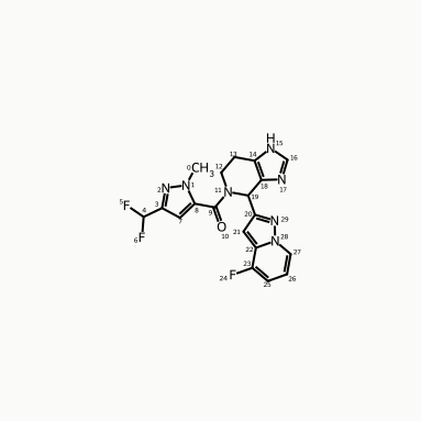 Cn1nc(C(F)F)cc1C(=O)N1CCc2[nH]cnc2C1c1cc2c(F)cccn2n1